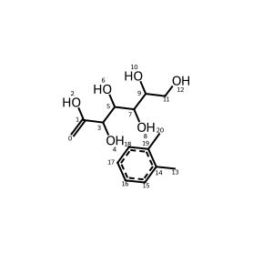 C=C(O)C(O)C(O)C(O)C(O)CO.Cc1ccccc1C